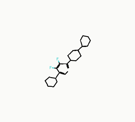 C=C(/C(F)=C(F)\C(=C/C)C1CCCCC1)C1CCC(C2CCCCC2)CC1